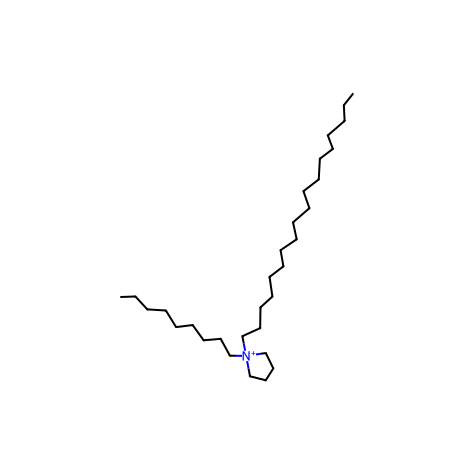 CCCCCCCCCCCCCCCCCC[N+]1(CCCCCCCCC)CCCC1